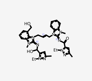 CCn1nc(C)cc1C(=O)/N=c1\n(C)c2ccccc2n1C/C=C/Cn1/c(=N/C(O)c2cc(C)nn2CC)n(C)c2cccc(CO)c21